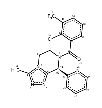 Cc1nnc2n1CCN(C(=O)c1cccc(C(F)(F)F)c1Cl)[C@H]2c1ccccn1